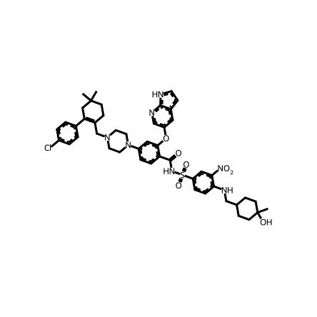 CC1(C)CCC(CN2CCN(c3ccc(C(=O)NS(=O)(=O)c4ccc(NCC5CCC(C)(O)CC5)c([N+](=O)[O-])c4)c(Oc4cnc5[nH]ccc5c4)c3)CC2)=C(c2ccc(Cl)cc2)C1